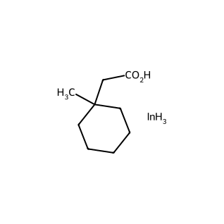 CC1(CC(=O)O)CCCCC1.[InH3]